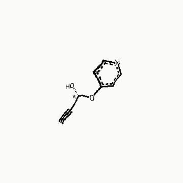 [C]#C[C@H](O)Oc1ccncc1